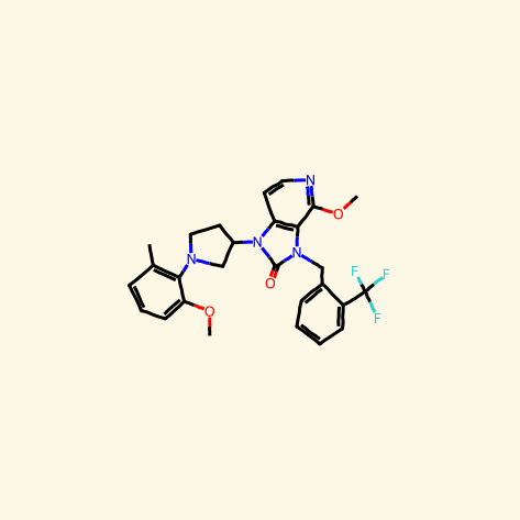 COc1cccc(C)c1N1CCC(n2c(=O)n(Cc3ccccc3C(F)(F)F)c3c(OC)nccc32)C1